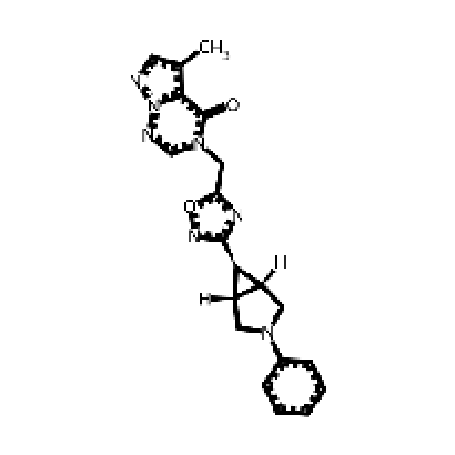 Cc1cnn2ncn(Cc3nc([C@H]4[C@@H]5CN(c6ccccc6)C[C@@H]54)no3)c(=O)c12